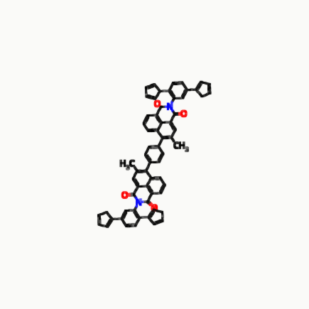 Cc1cc2c3c(cccc3c1-c1ccc(-c3c(C)cc4c5c(cccc35)C(=O)N(c3cc(C5=CC=CC5)ccc3C3C=CC=C3)C4=O)cc1)C(=O)N(c1cc(C3=CC=CC3)ccc1C1=CCC=C1)C2=O